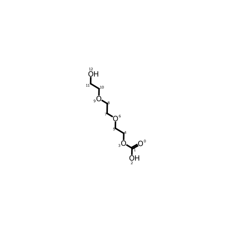 O=C(O)OCCOCCOCCO